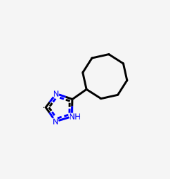 [c]1n[nH]c(C2CCCCCCC2)n1